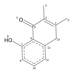 CC1=C(C)C(=O)c2c(O)cccc2C1